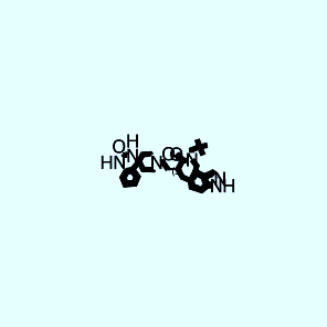 CC(C)(C)CN1Cc2c(ccc3[nH]ncc23)C[C@@H](CC(=O)N2CCC3(CC2)NC(=O)Nc2ccccc23)C1=O